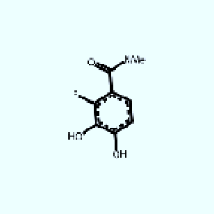 CNC(=O)c1ccc(O)c(O)c1F